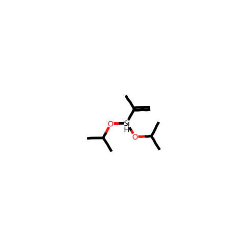 C=C(C)[SiH](OC(C)C)OC(C)C